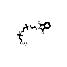 CC(C)(CCOC(C)(C)CCC(=O)O)OCCON1C(=O)c2ccccc2C1=O